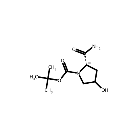 CC(C)(C)OC(=O)N1CC(O)C[C@H]1C(N)=O